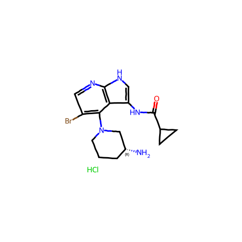 Cl.N[C@@H]1CCCN(c2c(Br)cnc3[nH]cc(NC(=O)C4CC4)c23)C1